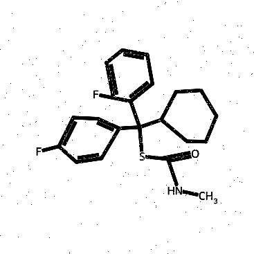 CNC(=O)SC(c1ccc(F)cc1)(c1ccccc1F)C1CCCCC1